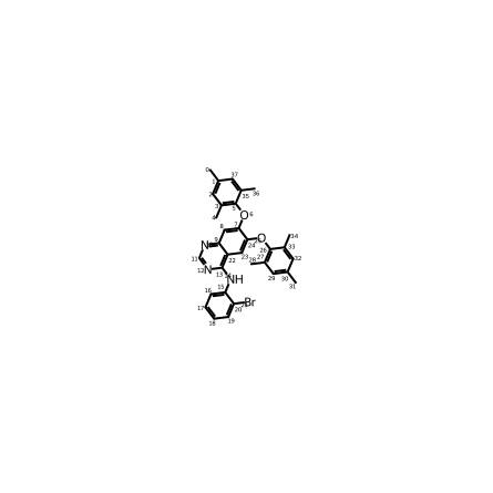 Cc1cc(C)c(Oc2cc3ncnc(Nc4ccccc4Br)c3cc2Oc2c(C)cc(C)cc2C)c(C)c1